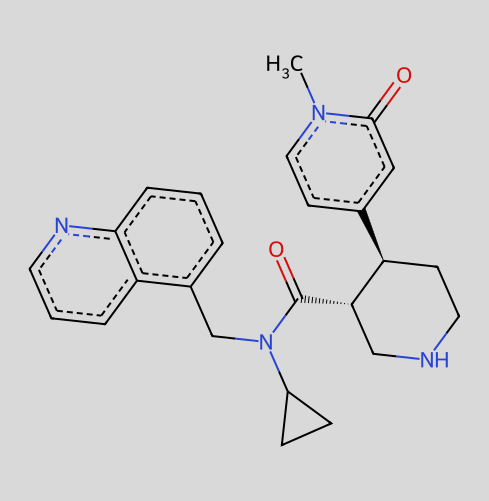 Cn1ccc([C@H]2CCNC[C@@H]2C(=O)N(Cc2cccc3ncccc23)C2CC2)cc1=O